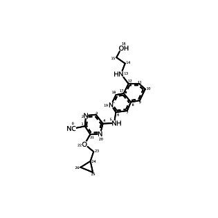 N#Cc1ncc(Nc2cc3cccc(NCCO)c3cn2)nc1OCC1CC1